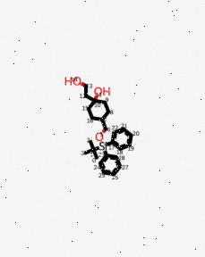 CC(C)(C)[Si](OCC1CCC(O)(CCO)CC1)(c1ccccc1)c1ccccc1